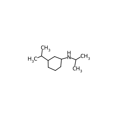 CC(C)NC1CCCC(C(C)C)C1